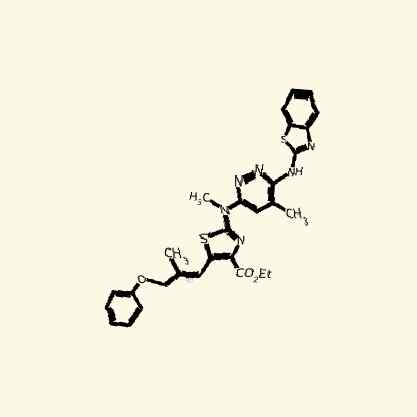 CCOC(=O)c1nc(N(C)c2cc(C)c(Nc3nc4ccccc4s3)nn2)sc1/C=C(\C)COc1ccccc1